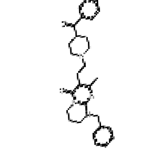 Cc1nc2n(c(=O)c1CCN1CCC(C(=O)c3ccc(F)cc3)CC1)CCCN2Cc1ccccc1